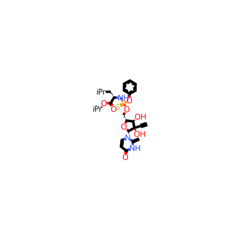 C#C[C@@]1(O)[C@H](O)[C@@H](COP(=S)(N[C@@H](CC(C)C)C(=O)OC(C)C)Oc2ccccc2)O[C@H]1N1C=CC(=O)NC1=C